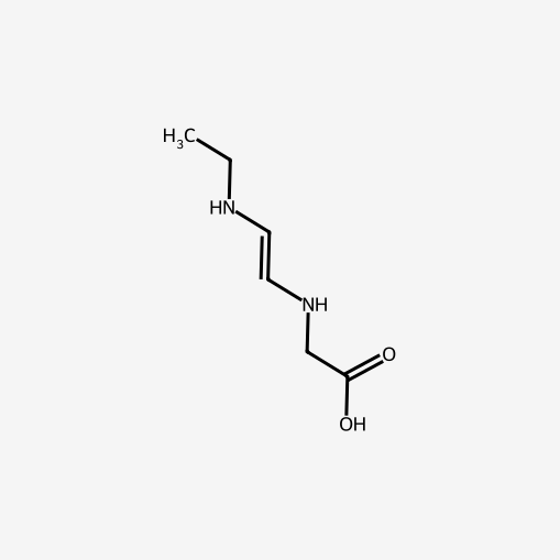 CCNC=CNCC(=O)O